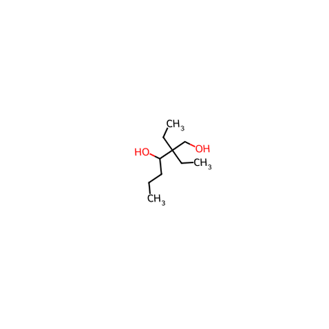 CCCC(O)C(CC)(CC)CO